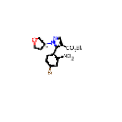 CCOC(=O)c1cnn([C@H]2CCOC2)c1-c1ccc(Br)cc1[N+](=O)[O-]